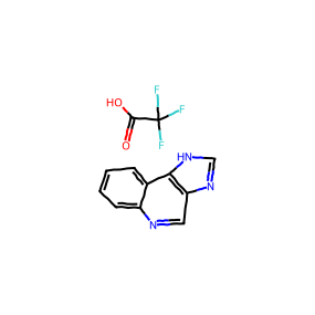 O=C(O)C(F)(F)F.c1ccc2c(c1)ncc1nc[nH]c12